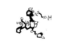 O=C(NC(Cc1cc(=O)[nH]c2ccccc12)C(=O)OCCN1CCOCC1)c1ccc(Cl)cc1.O=S(=O)(O)CCS(=O)(=O)O